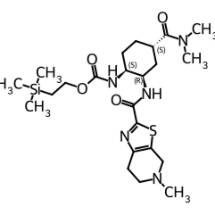 CN1CCc2nc(C(=O)N[C@@H]3C[C@@H](C(=O)N(C)C)CC[C@@H]3NC(=O)OCC[Si](C)(C)C)sc2C1